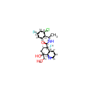 CC(NC(=O)[C@]1(F)CC[C@](O)(CO)c2ncccc21)c1ccc(F)cc1Cl